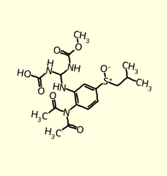 COC(=O)NC(NC(=O)O)Nc1cc([S+]([O-])CC(C)C)ccc1N(C(C)=O)C(C)=O